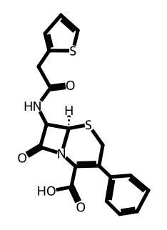 O=C(Cc1cccs1)NC1C(=O)N2C(C(=O)O)=C(c3ccccc3)CS[C@H]12